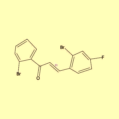 O=C(/C=C/c1ccc(F)cc1Br)c1ccccc1Br